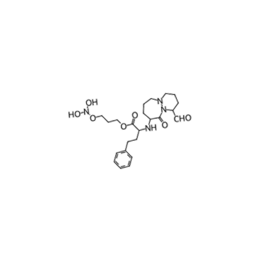 O=CC1CCCN2CCCC(NC(CCc3ccccc3)C(=O)OCCCON(O)O)C(=O)N12